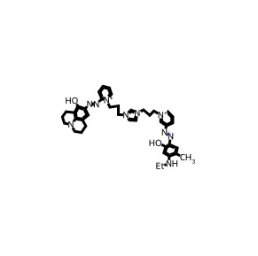 CCNc1cc(O)c(/N=N/c2ccc[n+](CCC[n+]3ccn(CCC[n+]4ccccc4N=Nc4cc5c6c(c4O)CCCN6CCC5)c3)c2)cc1C